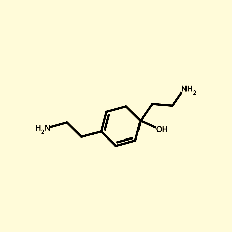 NCCC1=CCC(O)(CCN)C=C1